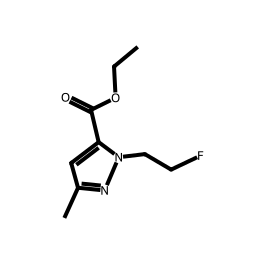 CCOC(=O)c1cc(C)nn1CCF